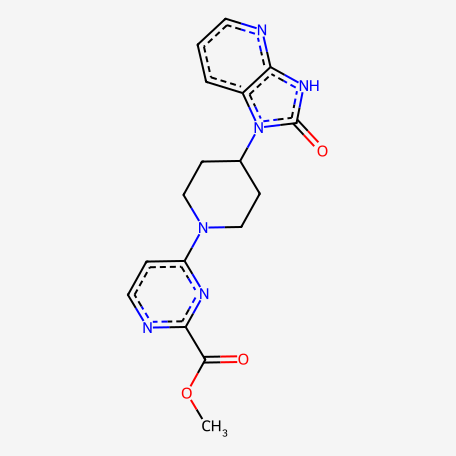 COC(=O)c1nccc(N2CCC(n3c(=O)[nH]c4ncccc43)CC2)n1